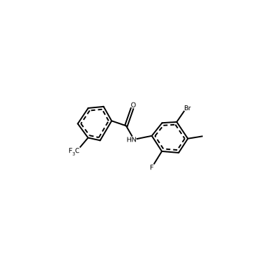 Cc1cc(F)c(NC(=O)c2cccc(C(F)(F)F)c2)cc1Br